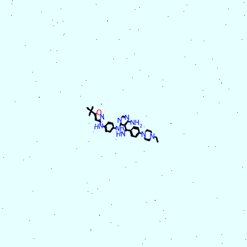 CCN1CCN(c2ccc(C(=N)c3c(N)ncnc3Nc3ccc(Nc4cc(C(C)(C)C)on4)cc3)cc2)CC1